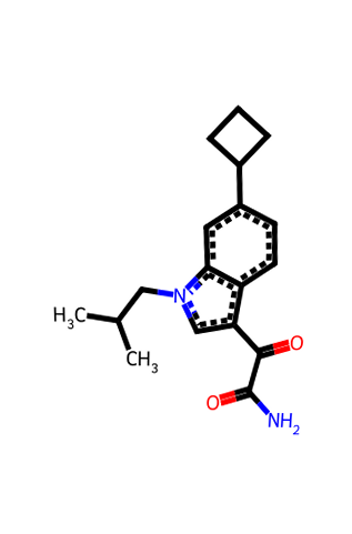 CC(C)Cn1cc(C(=O)C(N)=O)c2ccc(C3CCC3)cc21